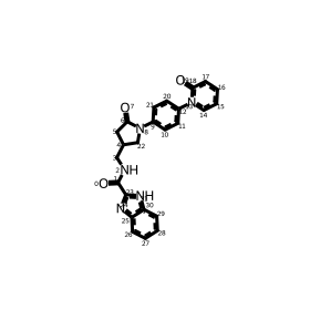 O=C(NCC1CC(=O)N(c2ccc(-n3ccccc3=O)cc2)C1)c1nc2ccccc2[nH]1